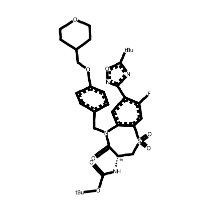 CC(C)(C)OC(=O)N[C@H]1CS(=O)(=O)c2cc(F)c(-c3noc(C(C)(C)C)n3)cc2N(Cc2ccc(OCC3CCOCC3)cc2)C1=O